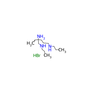 Br.C=CC(N)(CCCNCCC)CNCCC